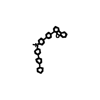 CN(c1ccc(-c2ccc(-c3ccccc3)cc2)cc1)c1ccc(-c2ccc(-c3cccc4c3oc3ccccc34)cc2)cc1